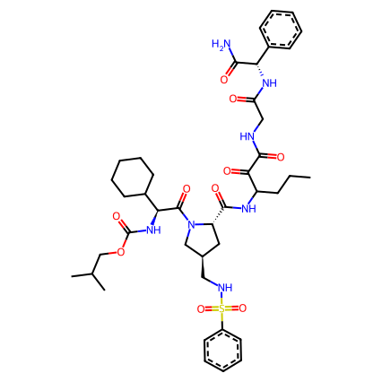 CCCC(NC(=O)[C@@H]1C[C@@H](CNS(=O)(=O)c2ccccc2)CN1C(=O)[C@@H](NC(=O)OCC(C)C)C1CCCCC1)C(=O)C(=O)NCC(=O)N[C@H](C(N)=O)c1ccccc1